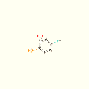 Fc1ccc(P)cc1.O